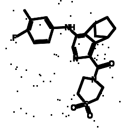 Cc1cc(Nc2cnc(C(=O)N3CCS(=O)(=O)CC3)c3c2C2CCC3C2)ccc1F